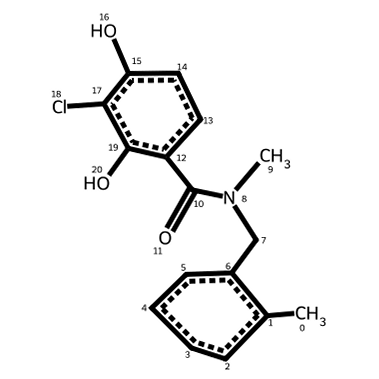 Cc1ccccc1CN(C)C(=O)c1ccc(O)c(Cl)c1O